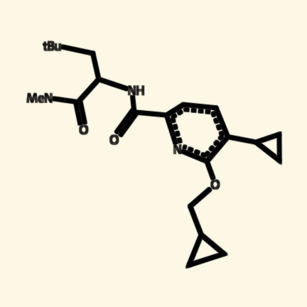 CNC(=O)C(CC(C)(C)C)NC(=O)c1ccc(C2CC2)c(OCC2CC2)n1